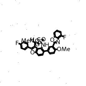 CNC(=O)c1c(-c2ccc(F)cc2)oc2ccc(-c3ccc(OC)c(-c4nc5c(F)cccc5o4)c3)c(NS(C)(=O)=O)c12